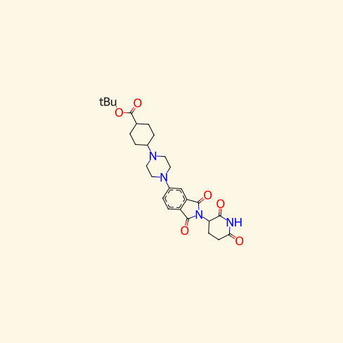 CC(C)(C)OC(=O)C1CCC(N2CCN(c3ccc4c(c3)C(=O)N(C3CCC(=O)NC3=O)C4=O)CC2)CC1